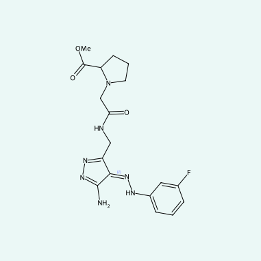 COC(=O)C1CCCN1CC(=O)NCC1=NN=C(N)/C1=N\Nc1cccc(F)c1